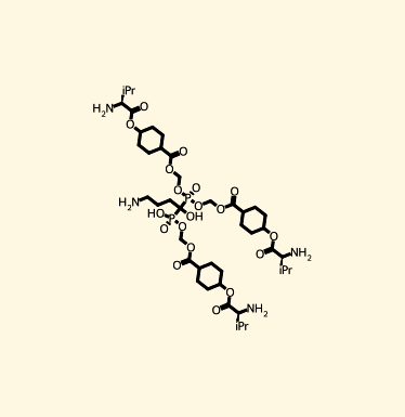 CC(C)[C@H](N)C(=O)OC1CCC(C(=O)OCOP(=O)(O)C(O)(CCCN)P(=O)(OCOC(=O)C2CCC(OC(=O)[C@@H](N)C(C)C)CC2)OCOC(=O)C2CCC(OC(=O)[C@@H](N)C(C)C)CC2)CC1